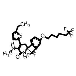 CCc1ccc(C2=C(NC)C(=O)N[C@@](c3ccc(OCCCCCC(F)(F)F)cc3)(C(F)(F)F)C2)s1